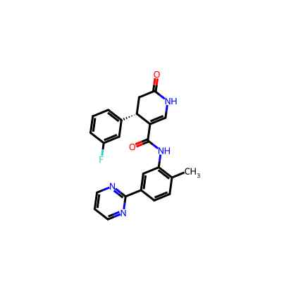 Cc1ccc(-c2ncccn2)cc1NC(=O)C1=CNC(=O)C[C@H]1c1cccc(F)c1